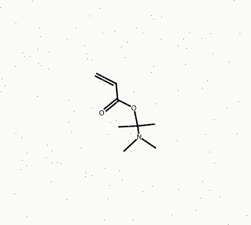 C=CC(=O)OC(C)(C)N(C)C